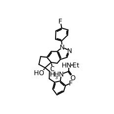 CCNC(=O)Nc1c(F)cccc1CC[C@]1(O)CCC2=Cc3c(cnn3-c3ccc(F)cc3)C[C@@]21C